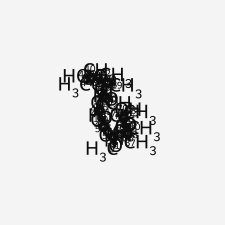 COc1nc(Oc2ccc(S(=O)(=O)c3ccc(Oc4nc(OC)nc(Oc5cc(C)cc(C)c5S(=O)(=O)c5cc(C)c(O)c(C)c5)n4)cc3)cc2)nc(Oc2cc(C)cc(C)c2S(=O)(=O)c2cc(C)c(O)c(C)c2)n1